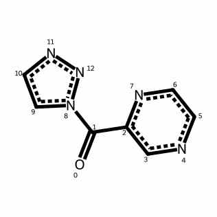 O=C(c1cnccn1)n1ccnn1